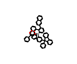 c1ccc(-c2cccc(N(c3cccc(C4(c5ccccc5)c5ccccc5-c5ccccc54)c3)c3cccc(-c4ccc5ccccc5c4)c3-c3cccc4sc5ccccc5c34)c2)cc1